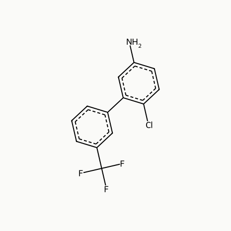 Nc1ccc(Cl)c(-c2cccc(C(F)(F)F)c2)c1